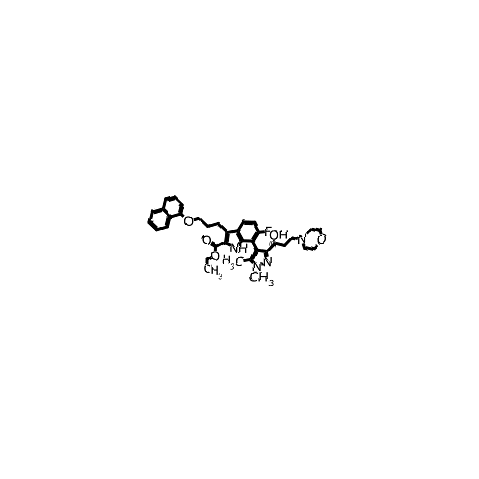 CCOC(=O)c1[nH]c2c(-c3c([C@H](O)CCN4CCOCC4)nn(C)c3C)c(F)ccc2c1CCCOc1cccc2ccccc12